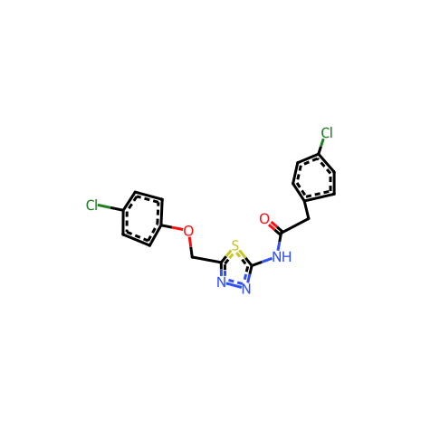 O=C(Cc1ccc(Cl)cc1)Nc1nnc(COc2ccc(Cl)cc2)s1